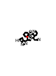 N#CCC(c1cccnc1S(=O)(=O)c1ccccc1)n1cc(-c2ncnc3[nH]ccc23)cn1